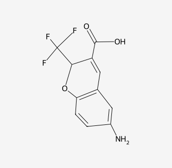 Nc1ccc2c(c1)C=C(C(=O)O)C(C(F)(F)F)O2